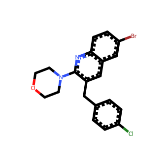 Clc1ccc(Cc2cc3cc(Br)ccc3nc2N2CCOCC2)cc1